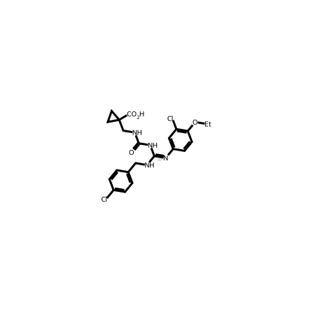 CCOc1ccc(/N=C(/NCc2ccc(Cl)cc2)NC(=O)NCC2(C(=O)O)CC2)cc1Cl